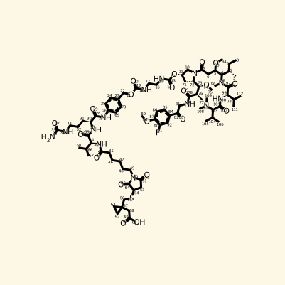 CC[C@H](C)C(C(CC(=O)N1C[C@@H](OC(=O)NCCNC(=O)OCc2ccc(NC(=O)[C@H](CCCNC(N)=O)NC(=O)[C@@H](NC(=O)CCCCCN3C(=O)CC(SCC4(CC(=O)O)CC4)C3=O)C(C)C)cc2)C[C@H]1[C@H](OC)[C@@H](C)C(=O)NCC(=O)c1ccc(OC)c(F)c1)OC)N(C)C(=O)[C@@H](NC(=O)C(C(C)C)N(C)C)C(C)C